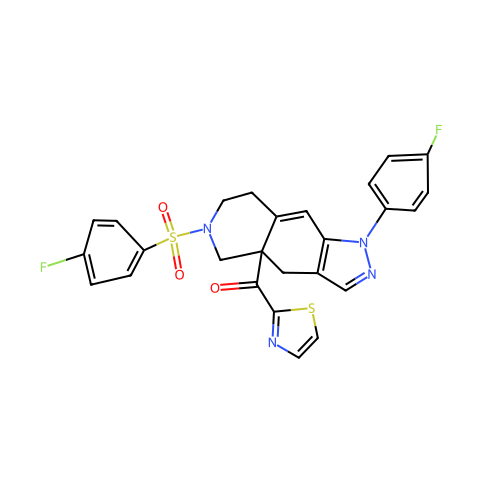 O=C(c1nccs1)C12Cc3cnn(-c4ccc(F)cc4)c3C=C1CCN(S(=O)(=O)c1ccc(F)cc1)C2